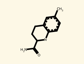 Cc1ccc2c(c1)CCC(C(N)=O)[N]2